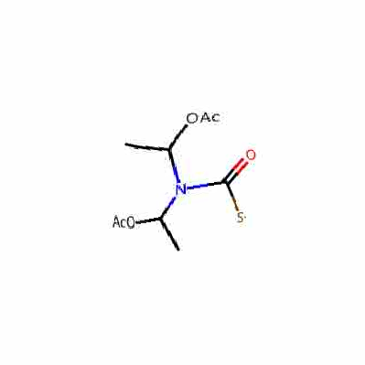 CC(=O)OC(C)N(C(=O)[S])C(C)OC(C)=O